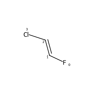 F/[C]=C/Cl